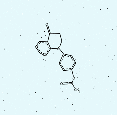 CC(=O)Oc1ccc(N2CCC(=O)c3ccccc32)cc1